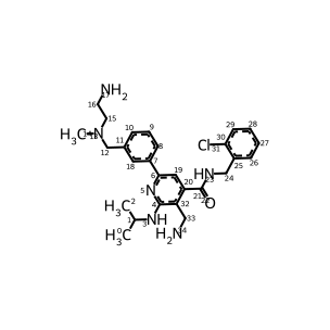 CC(C)Nc1nc(-c2cccc(CN(C)CCN)c2)cc(C(=O)NCc2ccccc2Cl)c1CN